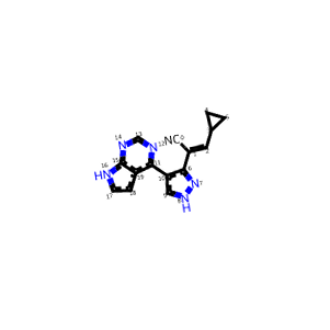 N#C/C(=C\C1CC1)c1n[nH]cc1-c1ncnc2[nH]ccc12